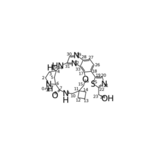 CN1CC[C@H]2C[C@H]1C(=O)NCC1(CCC1)COc1c(-c3cnc(CO)s3)ccc3ncc(nc13)N2